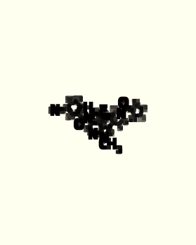 Cn1cc(C2CCN(C(=O)C3CCCC3)CC2)c2c(C(F)(F)F)c(NC(=O)c3cccc(C#N)c3)cnc21